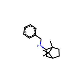 CC1(C)C2CCC1(C)C(NCc1ccccc1)C2